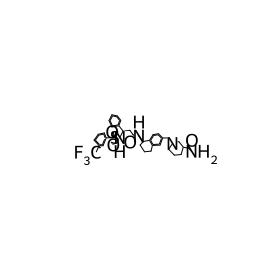 NC(=O)C1CCCN(Cc2ccc3c(c2)CCC[C@H]3NC(=O)C[C@@H](NS(=O)(=O)c2cccc(C(F)(F)F)c2)c2ccccc2)C1